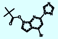 CC(C)(C)C(=O)On1ccc2c(Br)cc(-n3cncn3)nc21